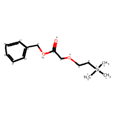 C[Si](C)(C)CCOCC(=O)OCc1ccccc1